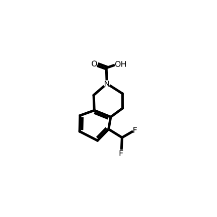 O=C(O)N1CCc2c(cccc2C(F)F)C1